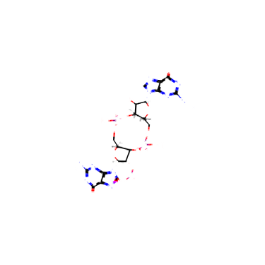 Nc1nc2c(ncn2[C@@H]2O[C@@H]3COP(=O)(O)OC4[C@@H](COP(=O)(O)O[C@@H]3C2O)O[C@@H](n2cnc3c(=O)[nH]c(N)nc32)[C@H]4OP(O)O)c(=O)[nH]1